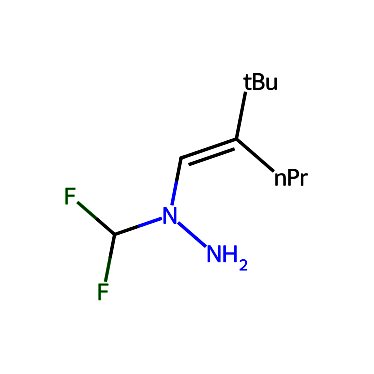 CCC/C(=C\N(N)C(F)F)C(C)(C)C